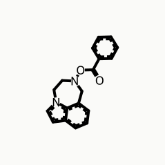 O=C(ON1CCn2ccc3cccc(c32)C1)c1ccccc1